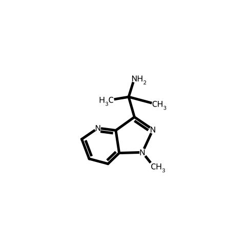 Cn1nc(C(C)(C)N)c2ncccc21